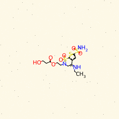 CCN[C@H]1CN(CCOC(=O)CCO)S(=O)(=O)c2sc(S(N)(=O)=O)cc21